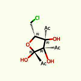 CC(=O)[C@@]1(O)[C@@](O)(C(C)=O)[C@@H](CCl)O[C@]1(O)C(C)=O